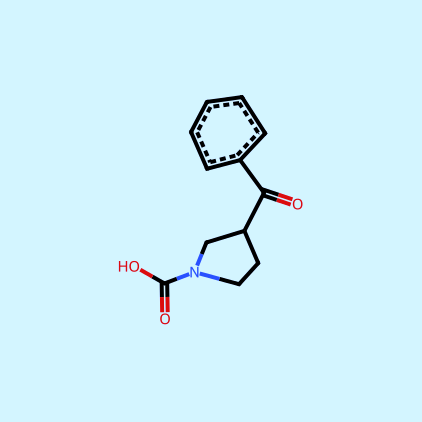 O=C(c1ccccc1)C1CCN(C(=O)O)C1